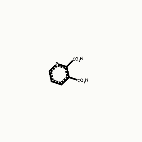 O=C(O)c1cccpc1C(=O)O